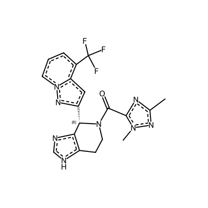 Cc1nc(C(=O)N2CCc3[nH]cnc3[C@@H]2c2cc3c(C(F)(F)F)cccn3n2)n(C)n1